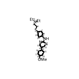 CCN(CC)CCSc1ccc(Nc2ncc(-c3ccc(OC)cc3)cn2)cc1